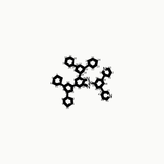 c1ccc(-c2cc(-c3ccccc3)cc(-c3cc(-c4cc(-c5ccccc5)cc(-c5ccccc5)c4)c4nn(-c5cc(-c6cccnc6)cc(-c6cccnc6)c5)nc4c3)c2)cc1